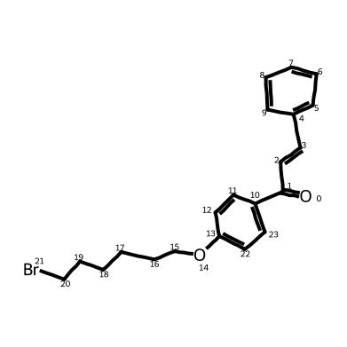 O=C(/C=C/c1ccccc1)c1ccc(OCCCCCCBr)cc1